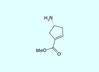 COC(=O)C1=CC[C@@H](N)C1